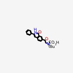 CC(C)(C)N(CC(=O)c1ccc2cc(-c3ccccc3)[nH]c(=O)c2c1)C(=O)O